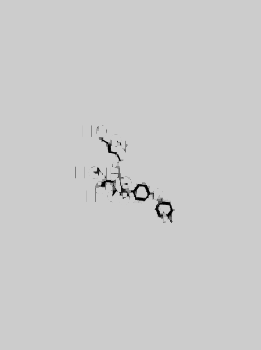 CN([C@H](CSCc1cc(CO)on1)C(=O)NO)S(=O)(=O)c1ccc(Oc2ccncc2)cc1